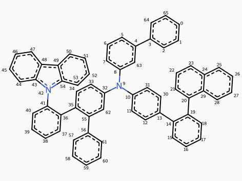 c1ccc(-c2cccc(N(c3ccc(-c4ccccc4-c4cccc5ccccc45)cc3)c3ccc(-c4ccccc4-n4c5ccccc5c5ccccc54)c(-c4ccccc4)c3)c2)cc1